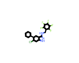 Fc1c(F)c(F)c(CNc2n[nH]c3cc(Cl)c(-c4ccccc4)cc23)c(F)c1F